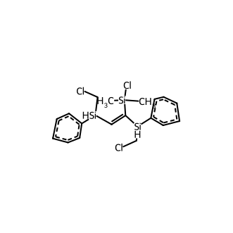 C[Si](C)(Cl)/C(=C\[SiH](CCl)c1ccccc1)[SiH](CCl)c1ccccc1